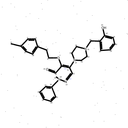 Cc1ccc(CCO/C(C=O)=C(/C=N\N(C)c2ccccc2)N2CCN(Cc3ccccc3O)CC2)cc1